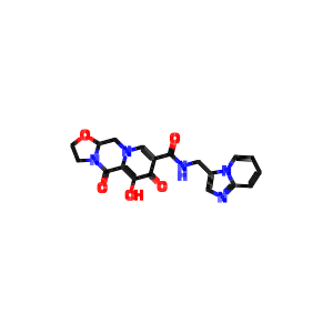 O=C(NCc1cnc2ccccn12)c1cn2c(c(O)c1=O)C(=O)N1CCOC1C2